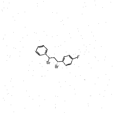 Fc1ccc([C@H](Br)CC(Br)c2ccccc2)cc1